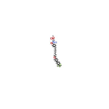 COC(=O)CCNC(=O)c1ccc(CCCCCCCCCOc2ccc(-c3ccc(C(F)(F)F)cc3)cc2)cc1